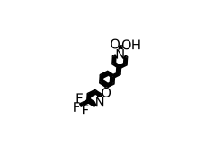 O=C(O)N1CCC(=Cc2cccc(Oc3ccc(C(F)(F)F)cn3)c2)CC1